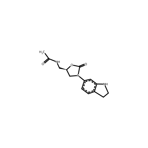 CC(=O)NC[C@@H]1CN(c2ccc3c(c2)NCC3)C(=O)O1